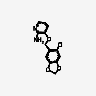 Nc1ncccc1OCc1cc2c(cc1Cl)OCO2